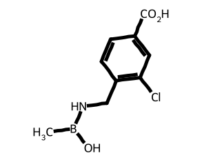 CB(O)NCc1ccc(C(=O)O)cc1Cl